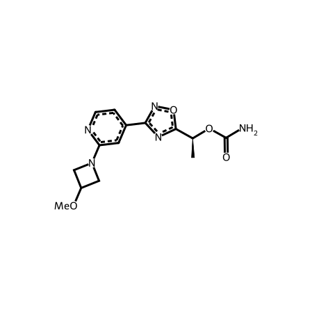 COC1CN(c2cc(-c3noc([C@H](C)OC(N)=O)n3)ccn2)C1